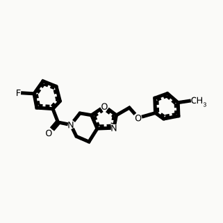 Cc1ccc(OCc2nc3c(o2)CN(C(=O)c2cccc(F)c2)CC3)cc1